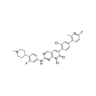 CCn1c(=O)c(-c2ccc(-c3ccc(F)nc3C)cc2Cl)cc2cnc(Nc3ccc(C4CCN(C)CC4)c(F)c3)nc21